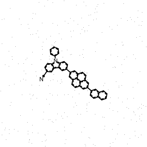 N#Cc1ccc2c(c1)c1cc(-c3cc4ccc5cc(-c6ccc7ccccc7c6)cc6ccc(c3)c4c56)ccc1n2-c1ccccc1